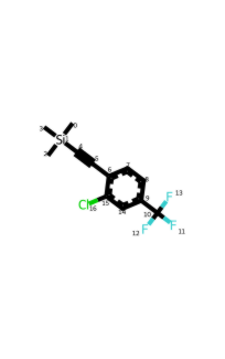 C[Si](C)(C)C#Cc1ccc(C(F)(F)F)cc1Cl